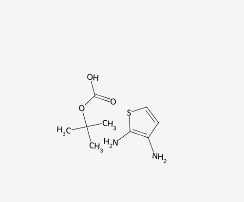 CC(C)(C)OC(=O)O.Nc1ccsc1N